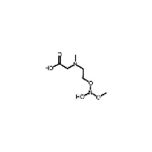 CON(O)OCCN(C)CC(=O)O